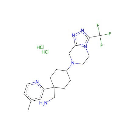 Cc1ccnc(C2(CN)CCC(N3CCn4c(nnc4C(F)(F)F)C3)CC2)c1.Cl.Cl